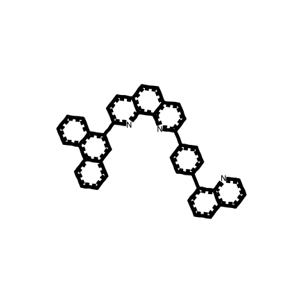 c1cnc2c(-c3ccc(-c4ccc5ccc6ccc(-c7cc8ccccc8c8ccccc78)nc6c5n4)cc3)cccc2c1